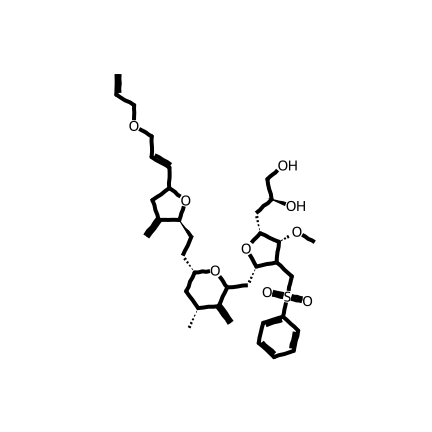 C=CCOC/C=C/C1CC(=C)[C@H](CC[C@H]2C[C@@H](C)C(=C)C(C[C@@H]3O[C@H](C[C@H](O)CO)[C@H](OC)C3CS(=O)(=O)c3ccccc3)O2)O1